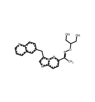 CC(=NOC(CO)CO)c1ccc2ncc(Cc3ccc4ncccc4c3)n2n1